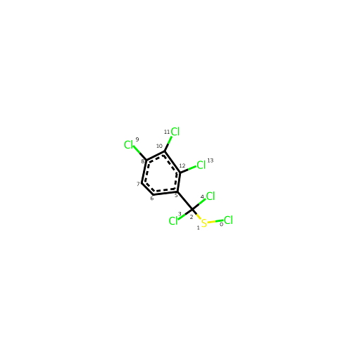 ClSC(Cl)(Cl)c1ccc(Cl)c(Cl)c1Cl